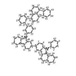 c1ccc(-n2c3ccc(-c4ccc5c6ccccc6n(-c6cccc(-c7ccccc7-c7ccc8c9c(cccc79)-c7ccccc7-8)c6)c5c4)cc3c3ccc4ccccc4c32)cc1